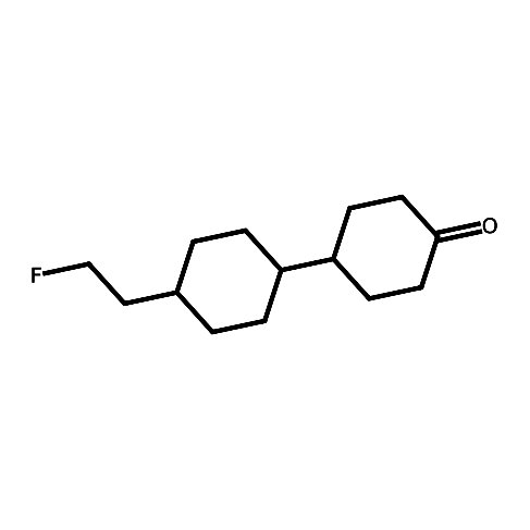 O=C1CCC(C2CCC(CCF)CC2)CC1